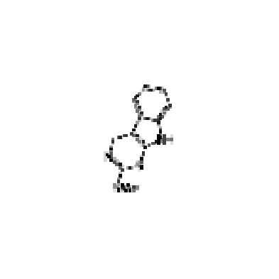 CSC1=NCc2c([nH]c3ccccc23)S1